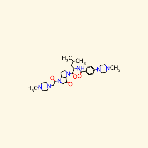 CC(C)CC(NC(=O)c1ccc(N2CCN(C)CC2)cc1)C(=O)N1CCC2C1C(=O)CN2C(=O)CN1CCN(C)CC1